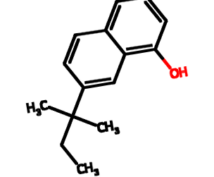 CCC(C)(C)c1ccc2cccc(O)c2c1